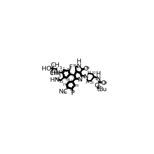 CC(C)(O)CNc1cc(F)c(-c2c(-c3ccc(C#N)c(F)c3)nc(N3CCC(NC(=O)OC(C)(C)C)CC3)c3c2CNC3=O)cc1C=N